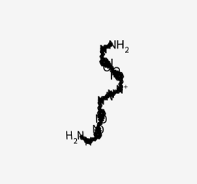 C/[N+](CCC[N+](C)(C)CCCc1ccc2oc(/C=C/c3nc4cc(CCC[N+](C)(C)CCCN)ccc4o3)nc2c1)=N\CCC[N+](C)(C)CCCc1ccc2oc(/C=C/c3nc4cc(CCC[N+](C)(C)CCCN)ccc4o3)nc2c1